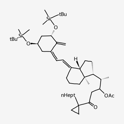 C=C1/C(=C\C=C2/CCC[C@]3(C)[C@@H]([C@H](C)C(CC(=O)C4(CCCCCCC)CC4)OC(C)=O)CC[C@@H]23)C[C@@H](O[Si](C)(C)C(C)(C)C)C[C@@H]1O[Si](C)(C)C(C)(C)C